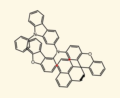 c1ccc(-n2c3ccccc3c3ccc(N(c4ccc5c(c4)C4(c6ccccc6O5)c5ccccc5-c5cccc6cccc4c56)c4cccc5oc6ccccc6c45)cc32)cc1